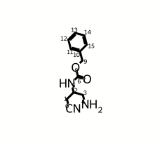 N#CCC(CN)NC(=O)OCc1ccccc1